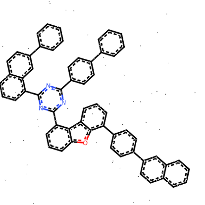 c1ccc(-c2ccc(-c3nc(-c4cccc5ccc(-c6ccccc6)cc45)nc(-c4cccc5oc6c(-c7ccc(-c8ccc9ccccc9c8)cc7)cccc6c45)n3)cc2)cc1